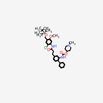 COc1cc(NC(=O)CCc2ccc(-c3ccccc3)c(NC(=O)OC3CCN(C)CC3)c2)c(Cl)cc1CO[Si](C)(C)C(C)(C)C